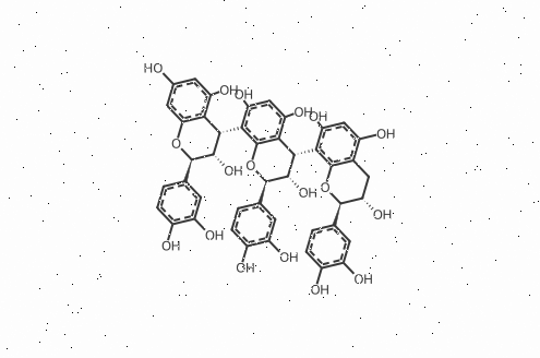 Oc1cc(O)c2c(c1)O[C@H](c1ccc(O)c(O)c1)[C@@H](O)[C@H]2c1c(O)cc(O)c2c1O[C@H](c1ccc(O)c(O)c1)[C@@H](O)[C@H]2c1c(O)cc(O)c2c1O[C@H](c1ccc(O)c(O)c1)[C@@H](O)C2